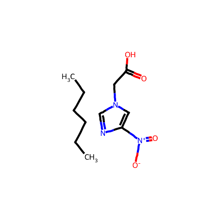 CCCCCC.O=C(O)Cn1cnc([N+](=O)[O-])c1